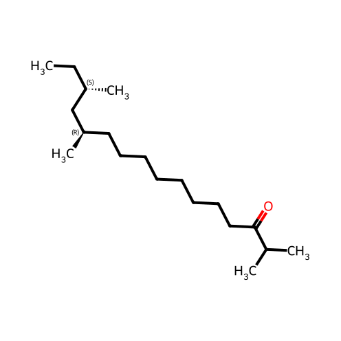 CC[C@H](C)C[C@H](C)CCCCCCCCC(=O)C(C)C